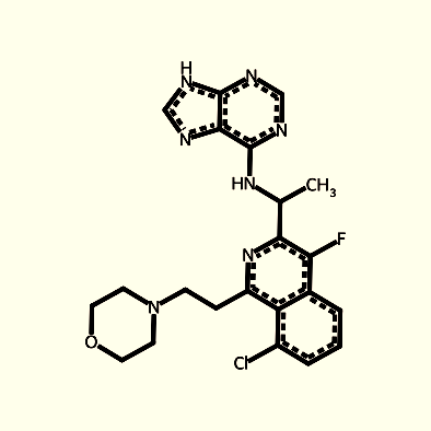 CC(Nc1ncnc2[nH]cnc12)c1nc(CCN2CCOCC2)c2c(Cl)cccc2c1F